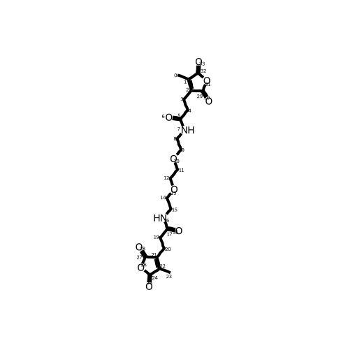 CC1=C(CCC(=O)NCCOCCOCCNC(=O)CCC2=C(C)C(=O)OC2=O)C(=O)OC1=O